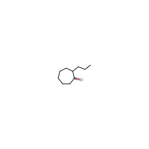 CCCC1CCCCCC1=O